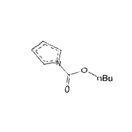 CCCCOC(=O)n1cccc1